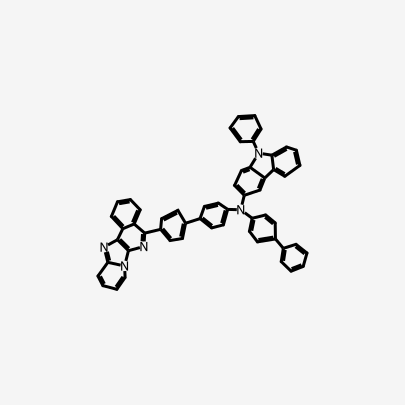 c1ccc(-c2ccc(N(c3ccc(-c4ccc(-c5nc6c(nc7ccccn76)c6ccccc56)cc4)cc3)c3ccc4c(c3)c3ccccc3n4-c3ccccc3)cc2)cc1